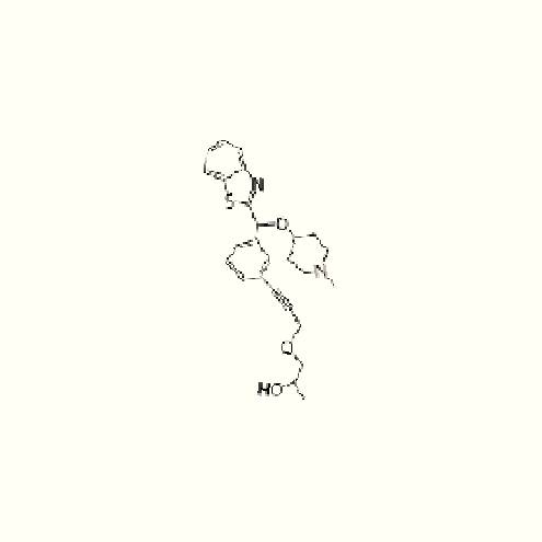 CC(O)COCC#Cc1cccc(C(OC2CCN(C)CC2)c2nc3ccccc3s2)c1